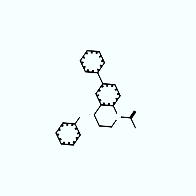 CC(=O)N1c2ccc(-c3ccccc3)cc2[C@@H](Nc2ccccc2)C[C@H]1C